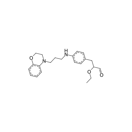 CCOC(C=O)Cc1ccc(NCCCN2CCOc3ccccc32)cc1